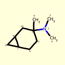 CN(C)C1(C)CCC2CC2C1